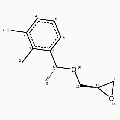 Cc1c(F)cccc1[C@@H](C)OC[C@H]1CO1